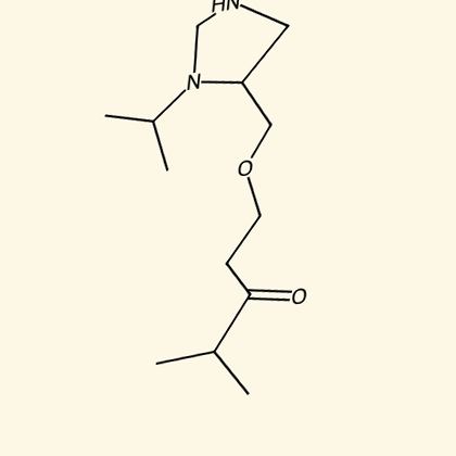 CC(C)C(=O)CCOCC1CNCN1C(C)C